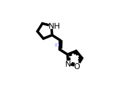 C(=C\C1CCCN1)/c1ccon1